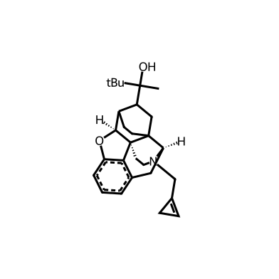 CC(C)(C)C(C)(O)C1CC23CCC1[C@@H]1Oc4cccc5c4[C@@]12CCN(CC1=CC1)[C@@H]3C5